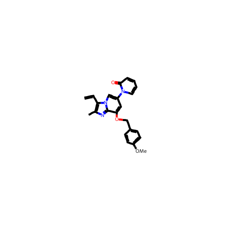 C=Cc1c(C)nc2c(OCc3ccc(OC)cc3)cc(-n3ccccc3=O)cn12